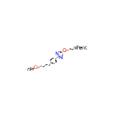 CCCCCC=CCOc1cnc(-c2ccc(CCCCCOCCC)cc2)nc1